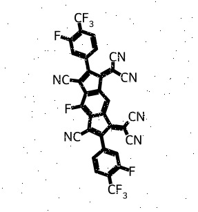 N#CC(C#N)=C1C(c2ccc(C(F)(F)F)c(F)c2)=C(C#N)c2c1cc1c(c2F)C(C#N)=C(c2ccc(C(F)(F)F)c(F)c2)C1=C(C#N)C#N